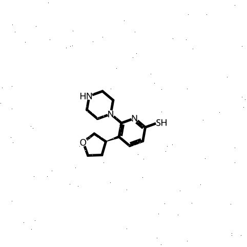 Sc1ccc([C@H]2CCOC2)c(N2CCNCC2)n1